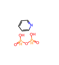 O=[PH](O)O[PH](=O)O.c1ccncc1